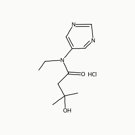 CCN(C(=O)CC(C)(C)O)c1cncnc1.Cl